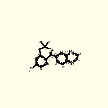 CC1(C)Cc2cc(F)ccc2C(c2ccc3nccnc3c2)=N1